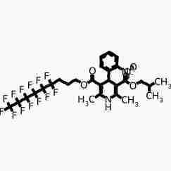 CC1=C(C(=O)OCCCC(F)(F)C(F)(F)C(F)(F)C(F)(F)C(F)(F)C(F)(F)F)C(c2ccccc2[N+](=O)[O-])C(C(=O)OCC(C)C)=C(C)N1